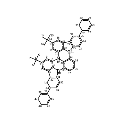 CC(C)(C)c1cc2c3c(c1)N1c4cc(C(C)(C)C)cc5c4B(c4ccc(C6C=CC=CC6)cc4-5)c4cccc(c41)B3C1=C2CC(C2=CCCC=C2)C=C1